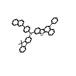 CC1(C)c2ccccc2-c2ccc(N(c3ccc(-c4ccc5ccccc5c4)cc3)c3ccc4c(c3)oc3c5ccccc5c(-c5ccccc5)cc43)cc21